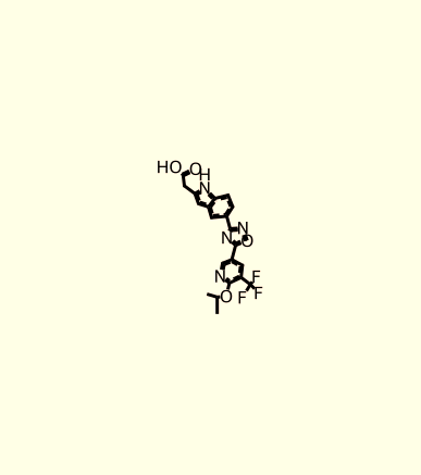 CC(C)Oc1ncc(-c2nc(-c3ccc4[nH]c(CC(=O)O)cc4c3)no2)cc1C(F)(F)F